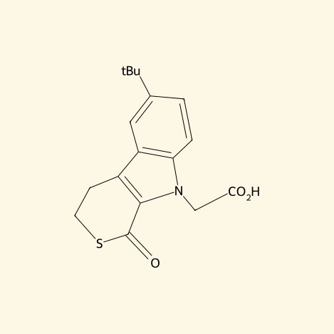 CC(C)(C)c1ccc2c(c1)c1c(n2CC(=O)O)C(=O)SCC1